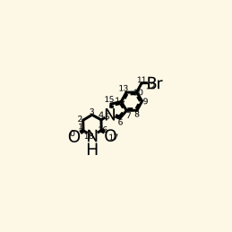 O=C1CCC(n2cc3ccc(CBr)cc3c2)C(=O)N1